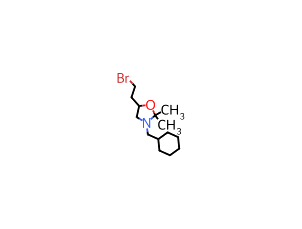 CC1(C)OC(CCBr)CN1CC1CCCCC1